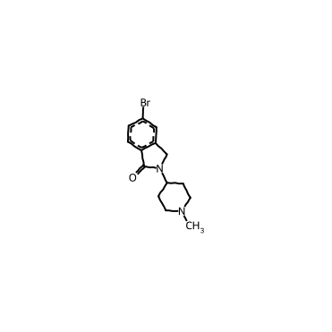 CN1CCC(N2Cc3cc(Br)ccc3C2=O)CC1